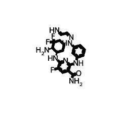 N=C/C=N\Nc1cccc(Nc2nc(N[C@@H]3CCCC(F)(F)[C@@H]3N)c(F)cc2C(N)=O)c1